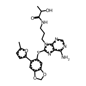 Cc1ccc(-c2cc3c(cc2Sc2nc4c(N)ncnc4n2CCCNC(=O)C(C)O)OCO3)o1